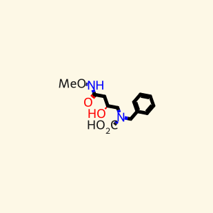 CONC(=O)C[C@@H](O)CN(Cc1ccccc1)C(=O)O